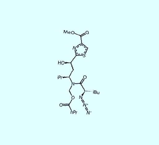 CCCC(=O)OCN(C(=O)[C@H](N=[N+]=[N-])[C@@H](C)CC)[C@H](C[C@@H](O)c1nc(C(=O)OC)cs1)C(C)C